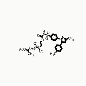 CCN(CCOC(=O)NS(=O)(=O)c1ccc(-n2nc(C(F)(F)F)cc2-c2ccc(C)cc2)cc1)[N+]([O-])=NOC(C)OC(C)=O